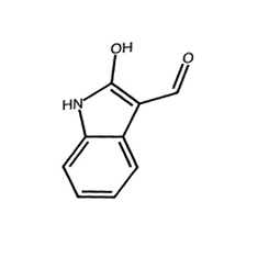 O=Cc1c(O)[nH]c2ccccc12